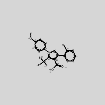 COc1ccc(-n2cc(-c3ccccc3C)c(C(=O)O)c2C(F)(F)F)cc1